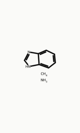 C.N.c1ccc2[nH]cnc2c1